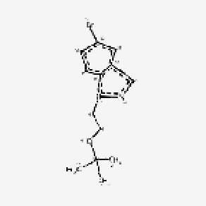 CC(C)(C)OCCn1ncc2cc(Br)ccc21